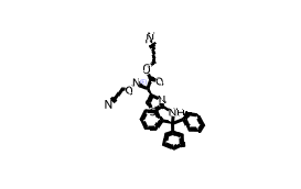 N#CCO/N=C(/C(=O)OCC#N)c1csc(NC(c2ccccc2)(c2ccccc2)c2ccccc2)n1